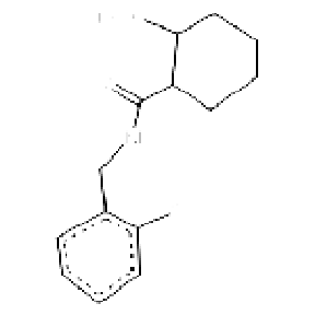 O=C(O)C1CCCCC1C(=O)NCc1ccccc1Cl